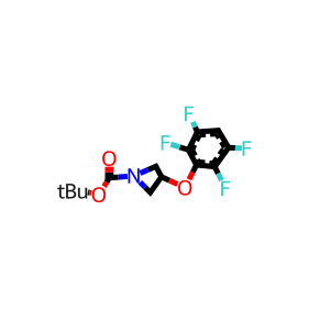 CC(C)(C)OC(=O)N1CC(Oc2c(F)c(F)cc(F)c2F)C1